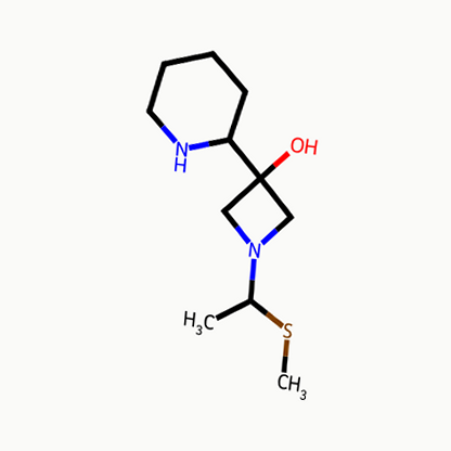 CSC(C)N1CC(O)(C2CCCCN2)C1